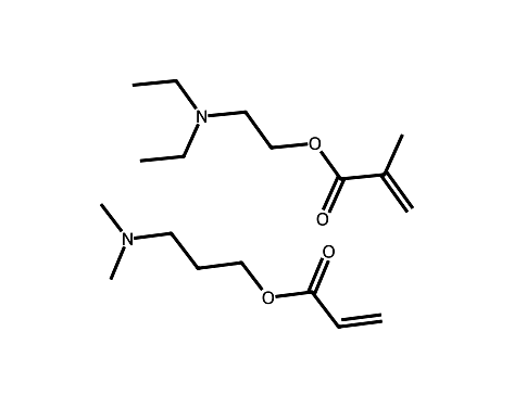 C=C(C)C(=O)OCCN(CC)CC.C=CC(=O)OCCCN(C)C